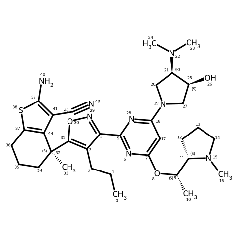 CCCc1c(-c2nc(O[C@@H](C)[C@@H]3CCCN3C)cc(N3C[C@@H](N(C)C)[C@@H](O)C3)n2)noc1[C@@]1(C)CCCc2sc(N)c(C#N)c21